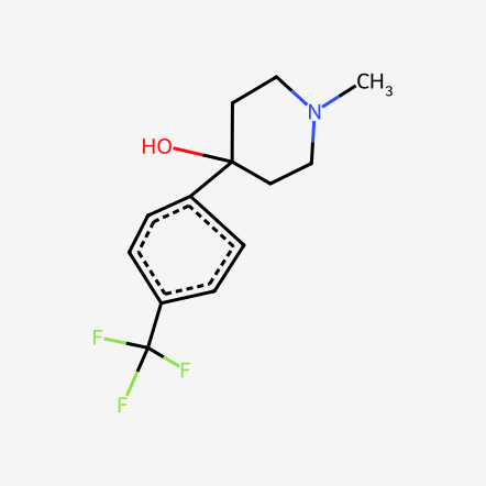 CN1CCC(O)(c2ccc(C(F)(F)F)cc2)CC1